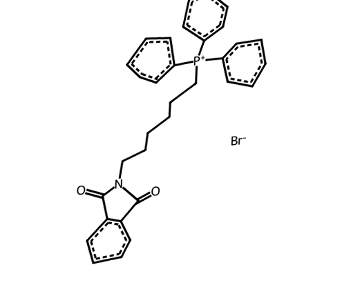 O=C1c2ccccc2C(=O)N1CCCCCC[P+](c1ccccc1)(c1ccccc1)c1ccccc1.[Br-]